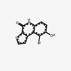 O=c1[nH]c2ccc(O)c(Br)c2c2ccsc12